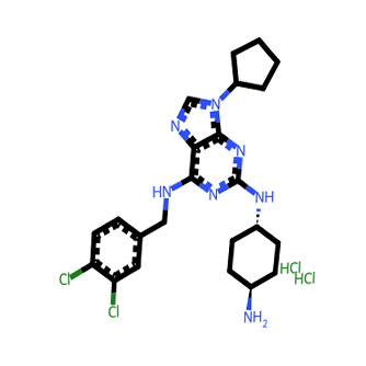 Cl.Cl.N[C@H]1CC[C@H](Nc2nc(NCc3ccc(Cl)c(Cl)c3)c3ncn(C4CCCC4)c3n2)CC1